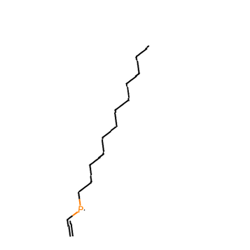 C=C[P]CCCCCCCCCCCC